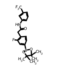 CC1(C)OB(c2ccc(CC(=O)Nc3cccc(C(F)(F)F)c3)c(F)c2)OC1(C)C